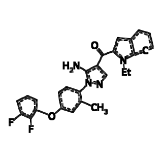 CCn1c(C(=O)c2cnn(-c3ccc(Oc4cccc(F)c4F)cc3C)c2N)cc2ccccc21